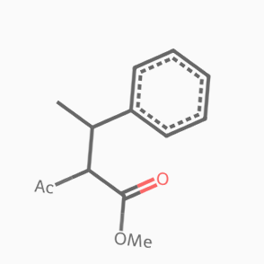 COC(=O)C(C(C)=O)C(C)c1ccccc1